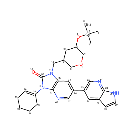 CC(C)(C)[Si](C)(C)OC1COCC(Cn2c(=O)n(C3=CCCCC3)c3ncc(-c4cnc5[nH]ccc5c4)cc32)C1